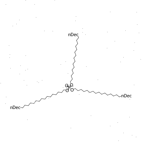 CCCCCCCCCCCCCCCCCCCCCCCCCCOP(=O)(OCCCCCCCCCCCCCCCCCCCCCCCCCC)OCCCCCCCCCCCCCCCCCCCCCCCCCC